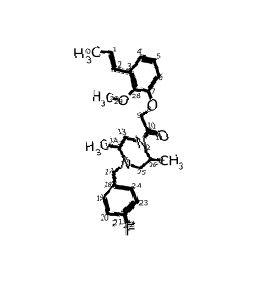 CC=Cc1cccc(OCC(=O)N2CC(C)N(Cc3ccc(F)cc3)CC2C)c1OC